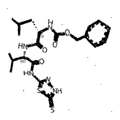 CC(C)C[C@H](NC(=O)OCc1ccccc1)C(=O)N[C@H](C(=O)Nc1n[nH]c(=S)s1)C(C)C